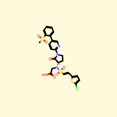 CS(=O)(=O)c1ccccc1-c1ccc(N2CC[C@H](N(CC(=O)O)S(=O)(=O)C=Cc3ccc(Cl)s3)C2=O)nc1